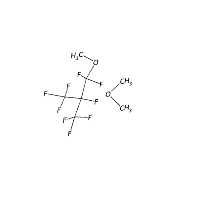 COC.COC(F)(F)C(F)(C(F)(F)F)C(F)(F)F